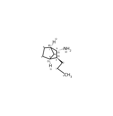 CCC[C@H]1[C@H]2CC[C@H](C2)[C@@H]1N